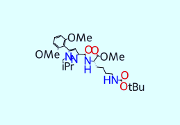 COC(=O)[C@H](CCCCNC(=O)OC(C)(C)C)NC(=O)c1cc(-c2c(OC)cccc2OC)n(CC(C)C)n1